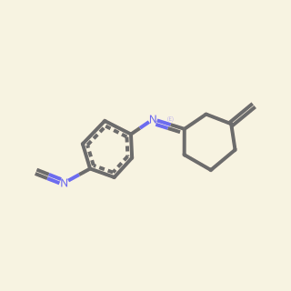 C=Nc1ccc(/N=C2\CCCC(=C)C2)cc1